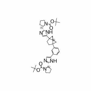 CC(C)(C)OC(=O)N1CCC[C@H]1c1ncc(-c2cccc(C34CCC5(c6cnc([C@@H]7CCCN7C(=O)OC(C)(C)C)[nH]6)C[C@@]35C4)c2)[nH]1